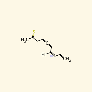 C=C/C=C(\C=C=CCC(C)=S)CC